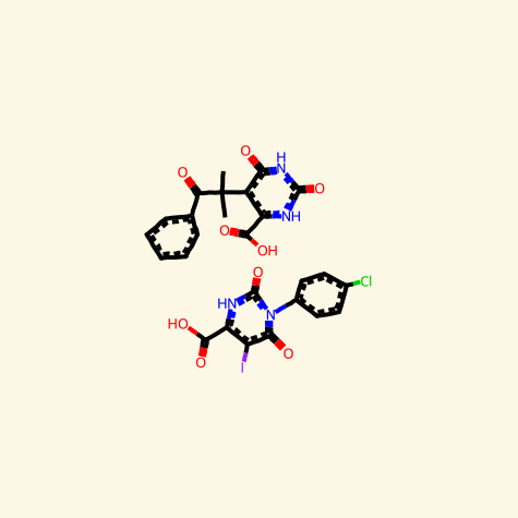 CC(C)(C(=O)c1ccccc1)c1c(C(=O)O)[nH]c(=O)[nH]c1=O.O=C(O)c1[nH]c(=O)n(-c2ccc(Cl)cc2)c(=O)c1I